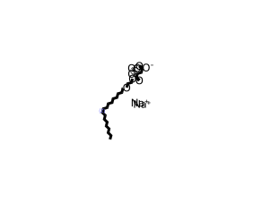 CCCCCCCC/C=C\CCCCCCCCOCCOC(=O)C(CC(=O)[O-])S(=O)(=O)[O-].[Na+].[Na+]